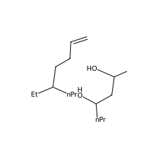 C=CCCC(CC)CCC.CCCC(O)CC(C)O